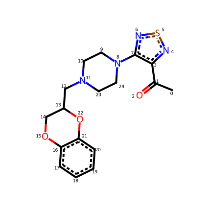 CC(=O)c1nsnc1N1CCN(CC2COc3ccccc3O2)CC1